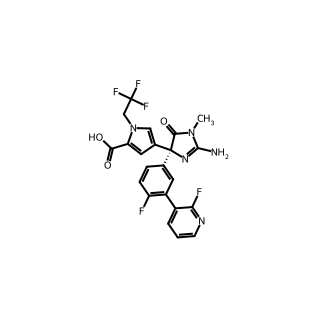 CN1C(=O)[C@](c2ccc(F)c(-c3cccnc3F)c2)(c2cc(C(=O)O)n(CC(F)(F)F)c2)N=C1N